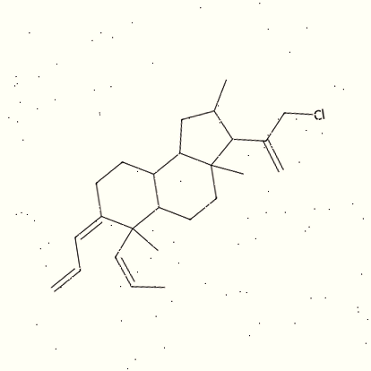 C=C/C=C1/CCC2C(CCC3(C)C2CC(C)C3C(=C)CCl)C1(C)/C=C\C